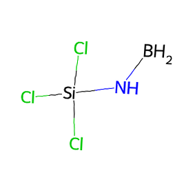 BN[Si](Cl)(Cl)Cl